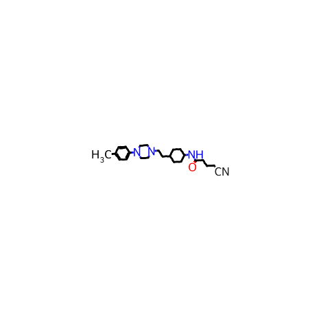 Cc1ccc(N2CCN(CCC3CCC(NC(=O)CCCC#N)CC3)CC2)cc1